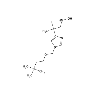 CC(I)(CNO)c1cn(COCC[Si](C)(C)C)cn1